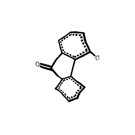 O=C1c2ccccc2-c2c(Cl)cccc21